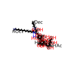 CCCCCCCC/C=C\CCCCCCCCCCCC(=O)N[C@@H](CO[C@@H]1O[C@H](CO)[C@@H](O[C@@H]2O[C@H](CO)[C@H](O)[C@H](O[C@]3(C(=O)O)C[C@H](O)[C@@H](NC(C)=O)[C@H]([C@H](O)[C@H](O)CO)O3)[C@H]2O)[C@H](O)[C@H]1O)[C@H](O)/C=C/CCCCCCCCCCCCC